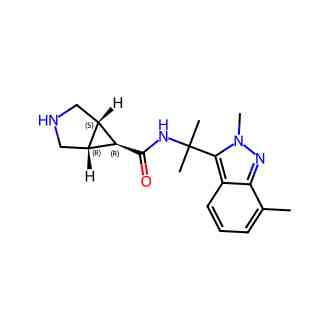 Cc1cccc2c(C(C)(C)NC(=O)[C@H]3[C@@H]4CNC[C@@H]43)n(C)nc12